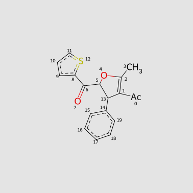 CC(=O)C1=C(C)OC(C(=O)c2cccs2)C1c1ccccc1